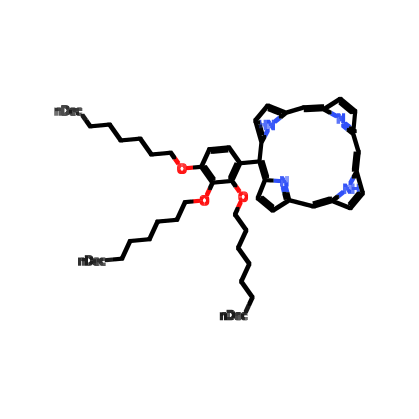 CCCCCCCCCCCCCCCCOc1ccc(-c2c3nc(cc4ccc(cc5nc(cc6ccc2[nH]6)C=C5)[nH]4)C=C3)c(OCCCCCCCCCCCCCCCC)c1OCCCCCCCCCCCCCCCC